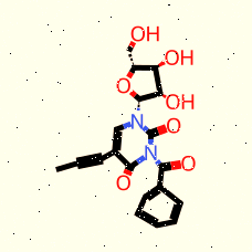 CC#Cc1cn([C@@H]2O[C@H](CO)[C@@H](O)[C@@H]2O)c(=O)n(C(=O)c2ccccc2)c1=O